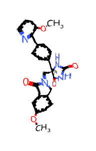 COc1ccc2c(c1)C(=O)N(C[C@@]1(c3ccc(-c4ncccc4OC)cc3)NC(=O)NC1=O)C2